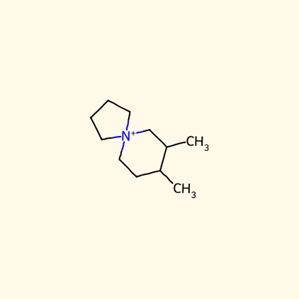 CC1CC[N+]2(CCCC2)CC1C